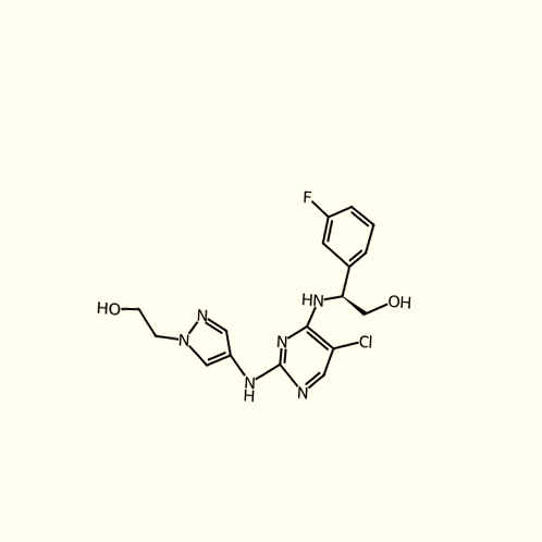 OCCn1cc(Nc2ncc(Cl)c(N[C@H](CO)c3cccc(F)c3)n2)cn1